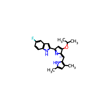 Cc1cc(C)c(/C=C2\N=C(c3cc4cc(F)ccc4[nH]3)C=C2OC(C)C)[nH]1